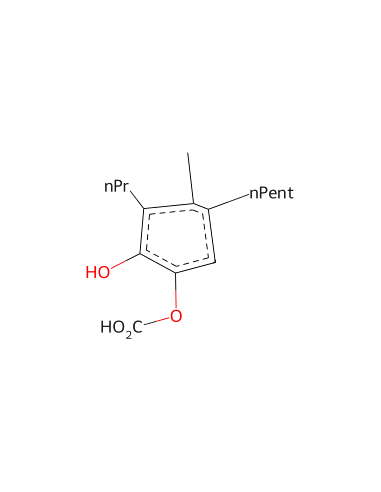 CCCCCc1cc(OC(=O)O)c(O)c(CCC)c1C